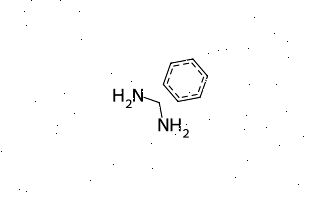 NCN.c1ccccc1